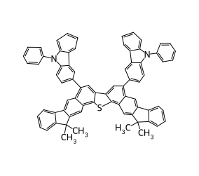 CC1(C)c2ccccc2-c2cc3c(-c4ccc5c(c4)c4ccccc4n5-c4ccccc4)cc4c5cc(-c6ccc7c(c6)c6ccccc6n7-c6ccccc6)c6cc7c(cc6c5sc4c3cc21)C(C)(C)c1ccccc1-7